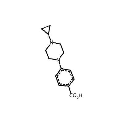 O=C(O)c1ccc(N2CCN(C3CC3)CC2)cc1